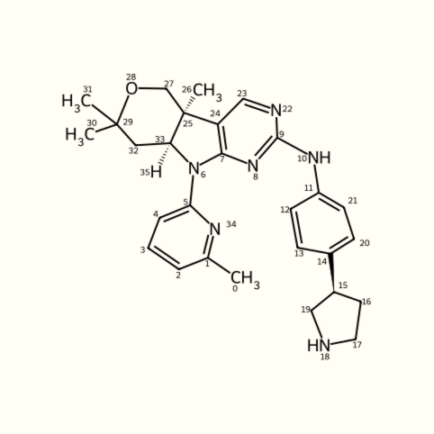 Cc1cccc(N2c3nc(Nc4ccc([C@H]5CCNC5)cc4)ncc3[C@]3(C)COC(C)(C)C[C@H]23)n1